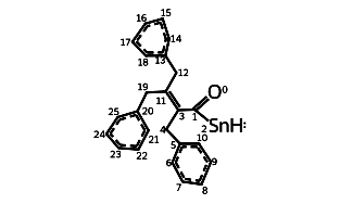 O=[C]([SnH])C(Cc1ccccc1)=C(Cc1ccccc1)Cc1ccccc1